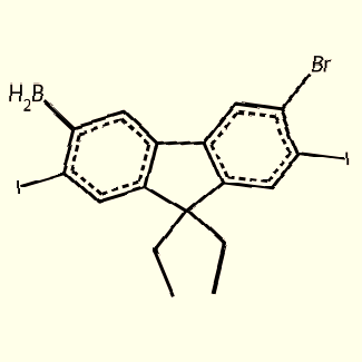 Bc1cc2c(cc1I)C(CC)(CC)c1cc(I)c(Br)cc1-2